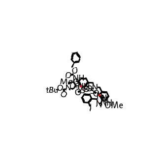 COc1ccc(CN(Cc2ccc(OC)cc2)S(=O)(=O)c2c(S(=O)(=O)N[C@H]3CN(C(=O)OC(C)(C)C)C[C@@H]3NC(=O)OCc3ccccc3)ccc(I)c2-c2nn[nH]n2)cc1